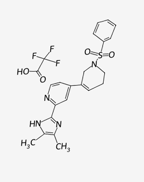 Cc1nc(-c2cc(C3=CCCN(S(=O)(=O)c4ccccc4)C3)ccn2)[nH]c1C.O=C(O)C(F)(F)F